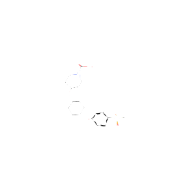 CS(=O)(=O)c1ccc(O[C@H]2CC[C@H](OC3CCN(C(=O)O)CC3)CC2)cc1F